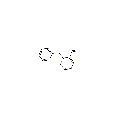 C=CC1=CC=CCN1Cc1ccccc1